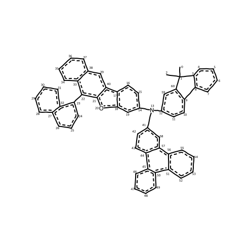 CC1(C)c2ccccc2-c2ccc(N(c3ccc4c(c3)oc3c(-c5cccc6ccccc56)c5ccccc5cc34)c3ccc4c5ccccc5c5ccccc5c4c3)cc21